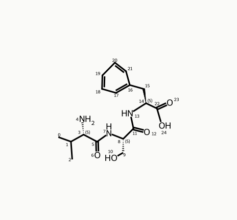 CC(C)[C@H](N)C(=O)N[C@@H](CO)C(=O)N[C@@H](Cc1ccccc1)C(=O)O